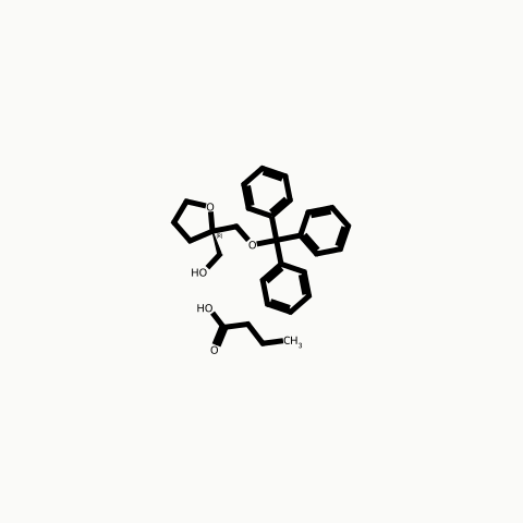 CCCC(=O)O.OC[C@@]1(COC(c2ccccc2)(c2ccccc2)c2ccccc2)CCCO1